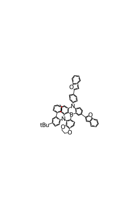 Cc1cc2c3c(c1)N(c1ccc(C(C)(C)C)cc1-c1ccccc1)c1c(ccc4c1OCCO4)B3c1cc(-c3cc4ccccc4o3)ccc1N2c1ccc(-c2cc3ccccc3o2)cc1